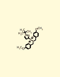 COc1ccc(CN(Cc2ccc(OC)cc2)S(=O)(=O)c2ccn(C(C)(C)C)n2)cc1